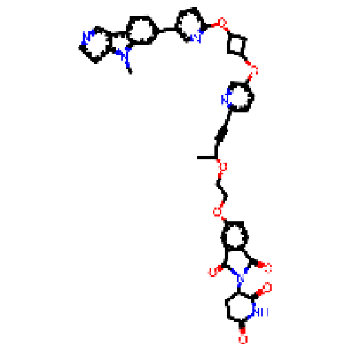 CC(C#Cc1ccc(OC2CC(Oc3ccc(-c4ccc5c6cnccc6n(C)c5c4)cn3)C2)cn1)OCCOc1ccc2c(c1)C(=O)N(C1CCC(=O)NC1=O)C2=O